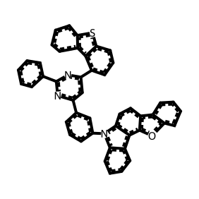 c1ccc(-c2nc(-c3cccc(-n4c5ccccc5c5c6oc7ccccc7c6ccc54)c3)cc(-c3cccc4sc5ccccc5c34)n2)cc1